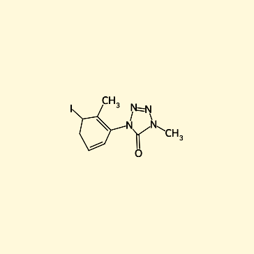 CC1=C(n2nnn(C)c2=O)C=CCC1I